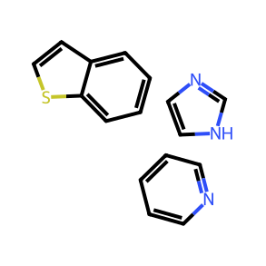 c1c[nH]cn1.c1ccc2sccc2c1.c1ccncc1